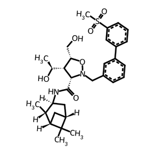 C[C@@H]1[C@@H](NC(=O)[C@@H]2[C@H]([C@H](C)O)[C@H](CO)ON2Cc2cccc(-c3cccc(S(C)(=O)=O)c3)c2)C[C@H]2C[C@@H]1C2(C)C